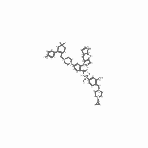 CC1(C)CCC(CN2CCN(c3ccc(C(=O)NS(=O)(=O)c4ccc(CN5CCN(C6CC6)CC5)c([N+](=O)[O-])c4)c(-n4ncc5nc6[nH]ccc6cc54)c3)CC2)=C(c2ccc(Cl)cc2)C1